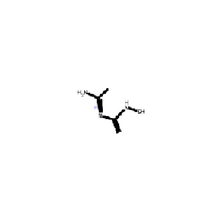 C=C(/N=C(\C)N)NS